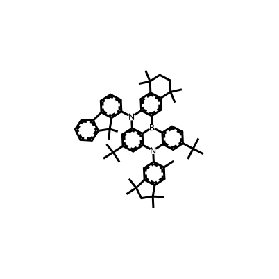 Cc1cc2c(cc1N1c3cc(C(C)(C)C)ccc3B3c4cc5c(cc4N(c4cccc6c4C(C)(C)c4ccccc4-6)c4cc(C(C)(C)C)cc1c43)C(C)(C)CCC5(C)C)C(C)(C)CC2(C)C